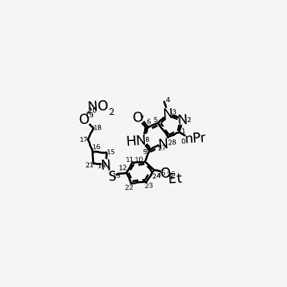 CCCc1nn(C)c2c(=O)[nH]c(-c3cc(SN4CC(CCO[N+](=O)[O-])C4)ccc3OCC)nc12